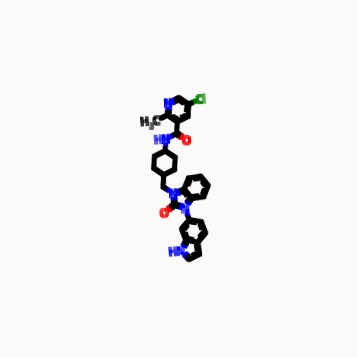 Cc1ncc(Cl)cc1C(=O)NC1CCC(Cn2c(=O)n(-c3ccc4cc[nH]c4c3)c3ccccc32)CC1